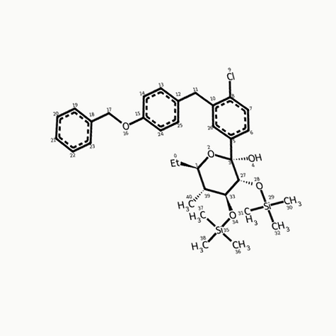 CC[C@H]1O[C@@](O)(c2ccc(Cl)c(Cc3ccc(OCc4ccccc4)cc3)c2)[C@H](O[Si](C)(C)C)[C@@H](O[Si](C)(C)C)[C@@H]1C